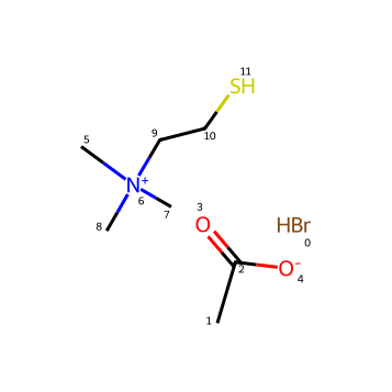 Br.CC(=O)[O-].C[N+](C)(C)CCS